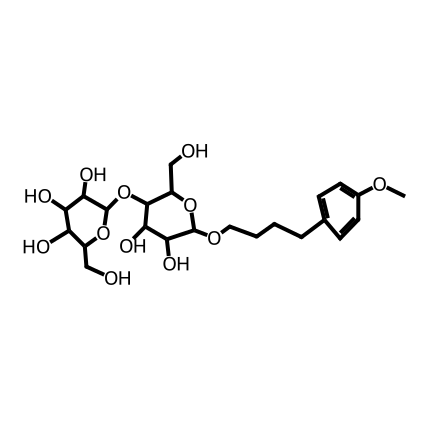 COc1ccc(CCCCOC2OC(CO)C(OC3OC(CO)C(O)C(O)C3O)C(O)C2O)cc1